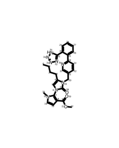 CCCCc1cn(-c2c(C(=O)OC)ccn2C)c(=O)n1Cc1ccc(-c2ccccc2-c2nnn[nH]2)nc1